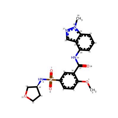 COc1ccc(S(=O)(=O)N[C@H]2CCOC2)cc1C(=O)Nc1cccc2c1cnn2C